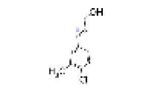 Cc1cc(/C=C/CO)ccc1Cl